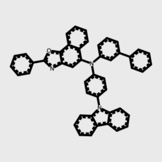 c1ccc(-c2cccc(N(c3ccc(-n4c5ccccc5c5ccccc54)cc3)c3cc4nc(-c5ccccc5)oc4c4ccccc34)c2)cc1